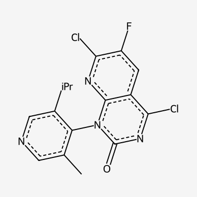 Cc1cncc(C(C)C)c1-n1c(=O)nc(Cl)c2cc(F)c(Cl)nc21